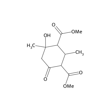 COC(=O)C1C(=O)CC(C)(O)C(C(=O)OC)C1C